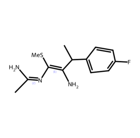 CSC(/N=C(/C)N)=C(/N)C(C)c1ccc(F)cc1